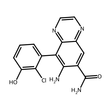 NC(=O)c1cc2nccnc2c(-c2cccc(O)c2Cl)c1N